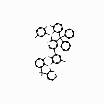 CC(C)c1ccc2c(c1)N1c3ncc(-c4cc(C(C)C)cc5c4Sc4cccc6c4N5c4ncccc4C6(C)C)cc3C(c3ccccc3)(c3ccccc3)c3cccc(c31)S2